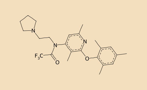 Cc1cc(C)c(Oc2nc(C)cc(N(CCN3CCCC3)C(=O)C(F)(F)F)c2C)c(C)c1